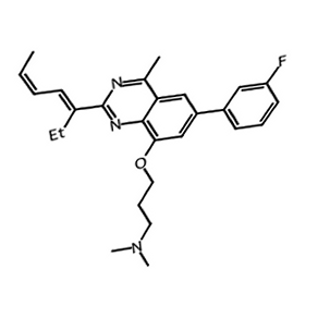 C/C=C\C=C(/CC)c1nc(C)c2cc(-c3cccc(F)c3)cc(OCCCN(C)C)c2n1